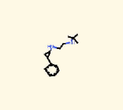 CC(C)(C)NCCN[C@@H]1CC1c1ccccc1